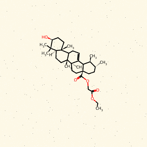 CCOC(=O)COC(=O)[C@]12CC[C@@H](C)[C@H](C)C1C1=CCC3[C@@]4(C)CC[C@H](O)C(C)(C)[C@@H]4CC[C@@]3(C)[C@]1(C)CC2